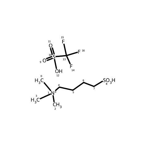 C[N+](C)(C)CCCCS(=O)(=O)O.O=S(=O)(O)C(F)(F)F